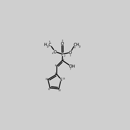 COP(=O)(OC)/C(O)=C/c1cccs1